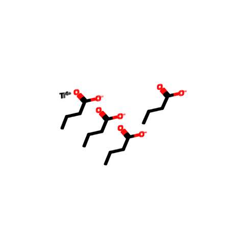 CCCC(=O)[O-].CCCC(=O)[O-].CCCC(=O)[O-].CCCC(=O)[O-].[Ti+4]